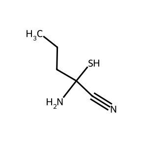 CCCC(N)(S)C#N